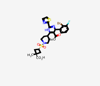 COC(=O)C1=C(C2CCN(S(=O)(=O)[C@H]3C[C@](C)(C(=O)O)C3)CC2)NC(c2nccs2)=NC1c1cccc(F)c1Br